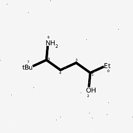 CCC(O)CCC(N)C(C)(C)C